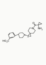 NC1(C(=O)N2CCC3(CC2)C[C@H]3C2CCC(c3cccc(C(=O)O)c3)CC2)CC1